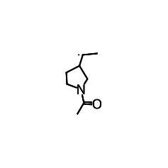 C[CH]C1CCN(C(C)=O)C1